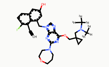 [2H]C([2H])([2H])N(CC1(COc2nc(N3CCCOCC3)nc3c2ncn3Cc2cc(O)cc3ccc(F)c(C#C)c23)CC1)C([2H])([2H])[2H]